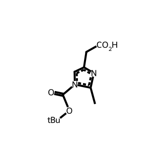 Cc1nc(CC(=O)O)cn1C(=O)OC(C)(C)C